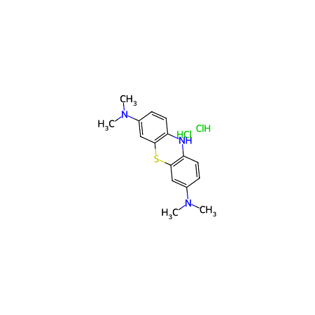 CN(C)c1ccc2c(c1)Sc1cc(N(C)C)ccc1N2.Cl.Cl